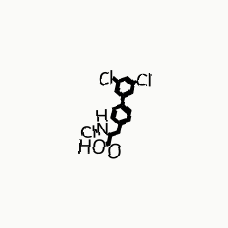 O=C(O)C(Cc1ccc(-c2cc(Cl)cc(Cl)c2)cc1)NCl